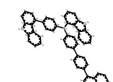 c1ccc2c(-c3ccc(-c4ccc(N(c5ccc(-c6cccc7oc8ccccc8c67)cc5)c5cccc6oc7ccccc7c56)cc4)cc3)cccc2c1